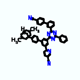 C[C@@H]1C[C@@H]2C[C@H](C)CC(c3ccc(-c4cc(-c5ccc(C#N)cn5)cc(-c5nc(-c6ccccc6)nc(-c6cccc(-c7ccc(C#N)cc7)c6)n5)c4)cc3)(C1)C2